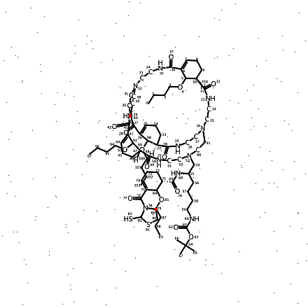 CCCCOC1C2=CCC[C@@H]1C(=O)NCCN1CCNC(=O)[C@@H]3CCC=C(C(=O)NCCN(CCNC2=O)CCNC(=O)C2=CCC[C@@H](C(=O)NCCN(CC(CCCCNC(=O)OC(C)(C)C)NC(=O)[C@H]4CCC=C(C(=O)N5CCSC5S)C4OCCCC)CC1)C2OCCCC)C3OCCCC